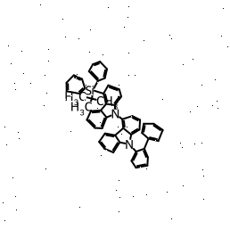 CC(C)(C)[Si](c1ccccc1)(c1ccccc1)c1cccc2c1c1ccccc1n2-c1cccc2c1c1ccccc1n2-c1ccccc1-c1ccccc1